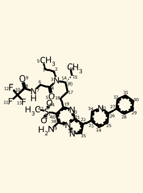 CCCN(C(=O)CNC(=O)C(F)(F)F)[C@H](CC)CCc1nc2c(-c3ccc(-c4ccccc4)nc3)cnn2c(N)c1S(C)(=O)=O